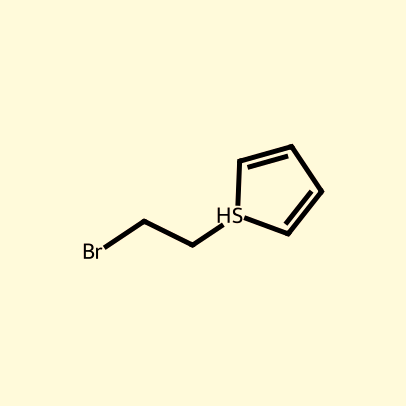 BrCC[SH]1C=CC=C1